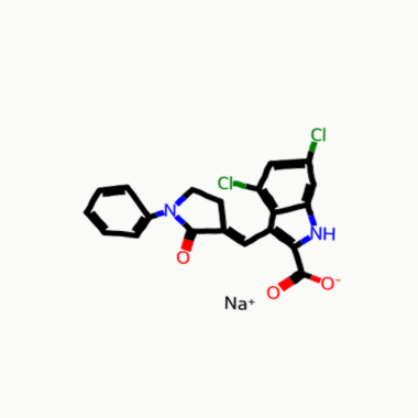 O=C([O-])c1[nH]c2cc(Cl)cc(Cl)c2c1/C=C1\CCN(c2ccccc2)C1=O.[Na+]